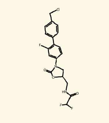 O=C(NCC1CN(c2ccc(-c3ccc(CCl)cc3)c(F)c2)C(=O)O1)C(F)F